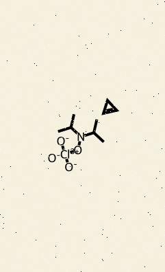 C1=CC1.CC(C)N(O[Cl+3]([O-])([O-])[O-])C(C)C